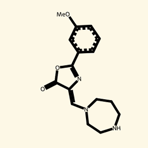 COc1cccc(C2=NC(=CN3CCCNCC3)C(=O)O2)c1